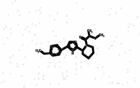 CCc1ccc(-c2cnc(C3CCCCN3C(=O)C(C)SC)[nH]2)cc1